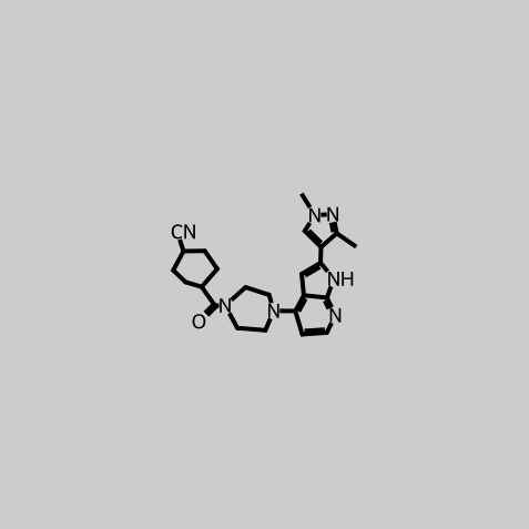 Cc1nn(C)cc1-c1cc2c(N3CCN(C(=O)C4CCC(C#N)CC4)CC3)ccnc2[nH]1